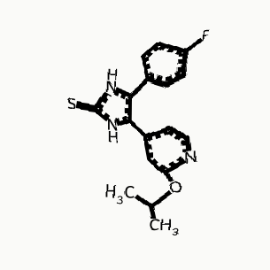 CC(C)Oc1cc(-c2[nH]c(=S)[nH]c2-c2ccc(F)cc2)ccn1